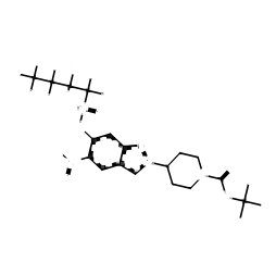 CC(C)(C)OC(=O)N1CCC(n2cc3cc([N+](=O)[O-])c(OS(=O)(=O)C(F)(F)C(F)(F)C(F)(F)C(F)(F)F)cc3n2)CC1